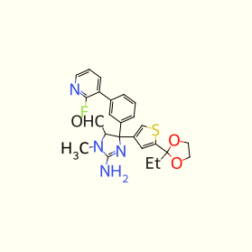 CCC1(c2cc(C3(c4cccc(-c5cccnc5F)c4)N=C(N)N(C)C3C=O)cs2)OCCO1